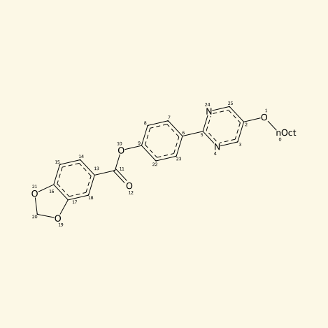 CCCCCCCCOc1cnc(-c2ccc(OC(=O)c3ccc4c(c3)OCO4)cc2)nc1